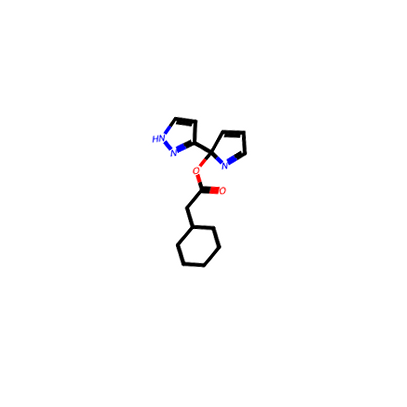 O=C(CC1CCCCC1)OC1(c2cc[nH]n2)C=CC=N1